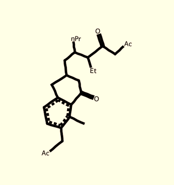 CCCC(CC1CC(=O)c2c(ccc(CC(C)=O)c2C)C1)C(CC)C(=O)CC(C)=O